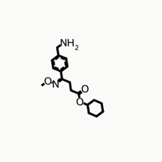 CON=C(CCC(=O)OC1CCCCC1)c1ccc(CN)cc1